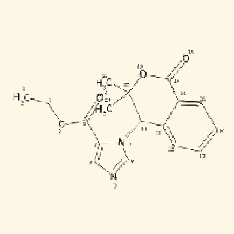 CCOC(=O)c1cncn1[C@H]1c2ccccc2C(=O)OC1(C)C